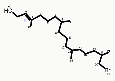 C/C(=C\CO)CCCC(C)CCCC(C)CCCC(C)CBr